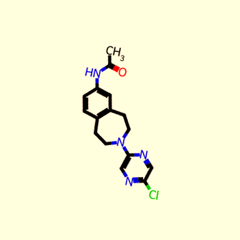 CC(=O)Nc1ccc2c(c1)CCN(c1cnc(Cl)cn1)CC2